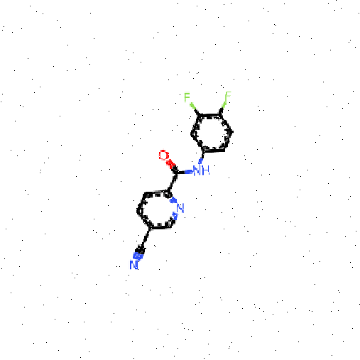 N#Cc1ccc(C(=O)Nc2ccc(F)c(F)c2)nc1